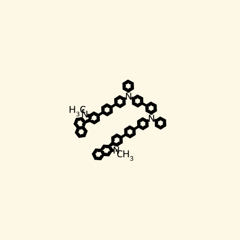 Cn1c2cc(-c3ccc(-c4ccc(N(c5ccccc5)c5cccc(-c6ccc(N(c7ccccc7)c7ccc(-c8ccc(-c9ccc%10c%11c%12ccccc%12ccc%11n(C)c%10c9)cc8)cc7)cc6)c5)cc4)cc3)ccc2c2cc3ccccc3cc21